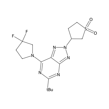 CC(C)(C)c1nc(N2CCC(F)(F)C2)c2nn(C3CCS(=O)(=O)C3)nc2n1